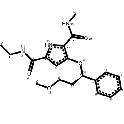 CCNC(=O)c1cc(O[C@H](CCOC)c2ccccc2)c(C(=O)NC)[nH]1